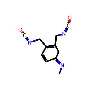 CN=C1C=CC(CN=C=O)=C(CN=C=O)C1